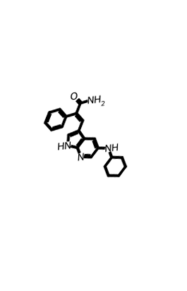 NC(=O)/C(=C/c1c[nH]c2ncc(NC3CCCCC3)cc12)c1ccccc1